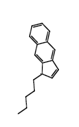 CCCCC[C]1C=Cc2cc3ccccc3cc21